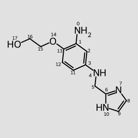 Nc1cc(NCc2ncc[nH]2)ccc1OCCO